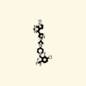 Fc1c(Cl)ccc(C(F)(F)F)c1CN1CCC(N2CC(n3cc(-c4ncnc5[nH]ccc45)cn3)C2)CC1